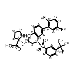 O=C(O)[C@@]1(C[C@H]2CN(S(=O)(=O)c3cccc(C(F)(F)F)c3)c3cc(-c4cc(F)ccc4F)ccc3O2)CCCN1